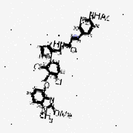 COc1nc2c(OCc3c(Cl)ccc(-n4cccc4CNC(=O)/C=C/c4ccc(NC(C)=O)nc4)c3Cl)cccc2n1C